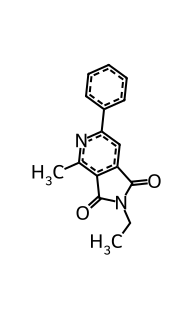 CCN1C(=O)c2cc(-c3ccccc3)nc(C)c2C1=O